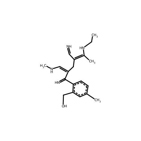 CCN/C(C)=C(\C=N)C/C(=C/NC)C(=N)c1ccc(C)cc1CO